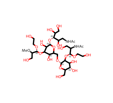 COC(CO)[C@H](OCCO)OC1C(O)[C@H](O[C@H](C(O)CO)C(O)CNC(C)=O)OC(CO[C@H]2OC(CO)[C@@H](O)C(O)C2O[C@H](OCCO)C(CO)NC(C)=O)[C@H]1O